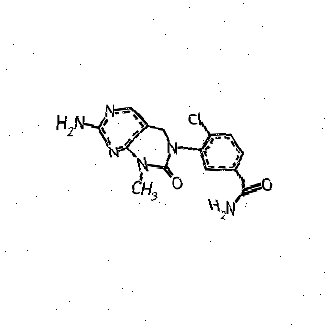 CN1C(=O)N(c2cc(C(N)=O)ccc2Cl)Cc2cnc(N)nc21